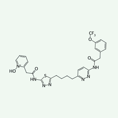 O=C(Cc1cccc(OC(F)(F)F)c1)Nc1ccc(CCCCc2nnc(NC(=O)Cc3cccc[n+]3O)s2)nn1